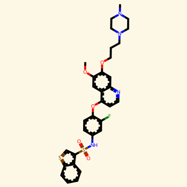 COc1cc2c(Oc3ccc(NS(=O)(=O)c4csc5ccccc45)cc3F)ccnc2cc1OCCCN1CCN(C)CC1